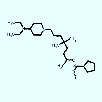 CCN(CC)C1CCN(CCCC(C)(C)CCC(C)O[C@@H](OC)C2CCCC2)CC1